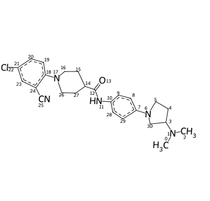 CN(C)C1CCN(c2ccc(NC(=O)C3CCN(c4ccc(Cl)cc4C#N)CC3)cc2)C1